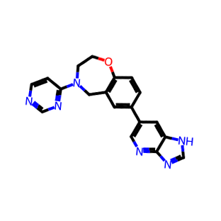 c1cc(N2CCOc3ccc(-c4cnc5nc[nH]c5c4)cc3C2)ncn1